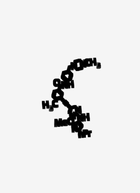 CCCC1C=C(Nc2ncc(C#Cc3cc(C(=O)Nc4ccc(CN5CCN(C)CC5)cc4)ccc3C)cn2)C(OC)=N1